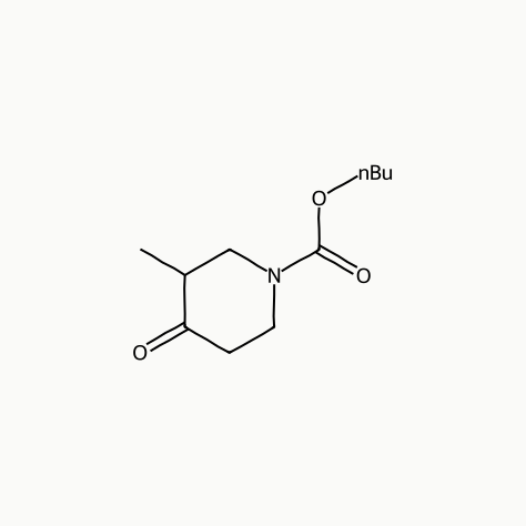 CCCCOC(=O)N1CCC(=O)C(C)C1